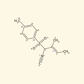 [C-]#[N+]C(/C(C)=C/C)S(=O)(=O)c1ccc(C)cc1